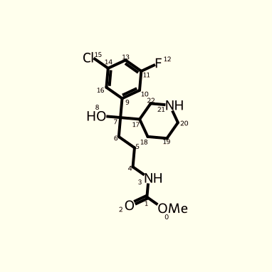 COC(=O)NCCCC(O)(c1cc(F)cc(Cl)c1)C1CCCNC1